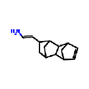 N/C=C/C1CC2CC1C1C3C=CC(C3)C21